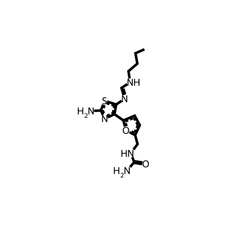 CCCCNC=Nc1sc(N)nc1-c1ccc(CNC(N)=O)o1